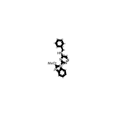 COc1nc2ccccc2n1-c1nncc(NCc2ccccc2)n1